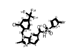 Cc1nc2ccc(C(=O)NS(=O)(=O)c3ccc(Br)s3)nc2n1Cc1ccc(C(F)(F)F)cc1Cl